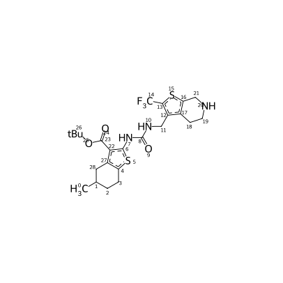 CC1CCc2sc(NC(=O)NCc3c(C(F)(F)F)sc4c3CCNC4)c(C(=O)OC(C)(C)C)c2C1